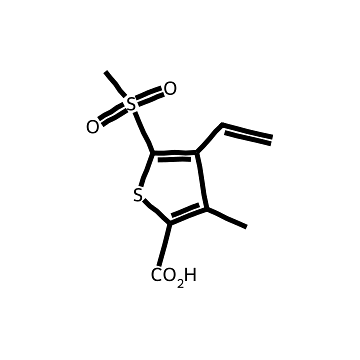 C=Cc1c(S(C)(=O)=O)sc(C(=O)O)c1C